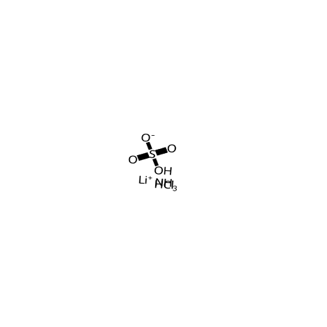 Cl.N.O=S(=O)([O-])O.[Li+]